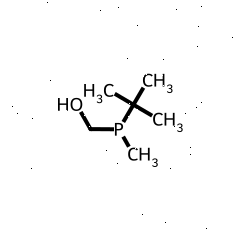 CP(CO)C(C)(C)C